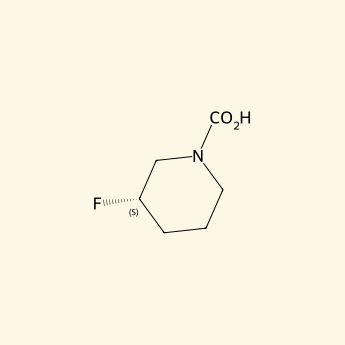 O=C(O)N1CCC[C@H](F)C1